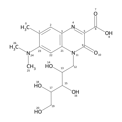 Cc1cc2nc(C(=O)O)c(=O)n(CC(O)C(O)C(O)CO)c2cc1N(C)C